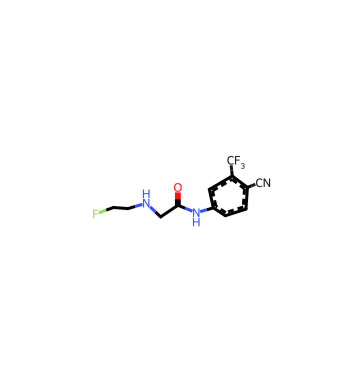 N#Cc1ccc(NC(=O)CNCCF)cc1C(F)(F)F